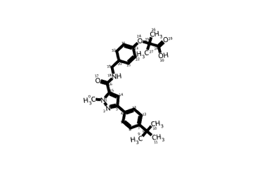 Cn1nc(-c2ccc(C(C)(C)C)cc2)cc1C(=O)NCC1C=CC(OC(C)(C)C(=O)O)=CC1